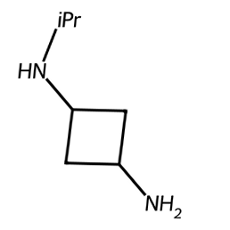 CC(C)NC1CC(N)C1